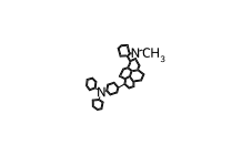 CCn1c2ccccc2c2c3ccc4c(-c5ccc(N(c6ccccc6)c6ccccc6)cc5)ccc5ccc(cc21)c3c54